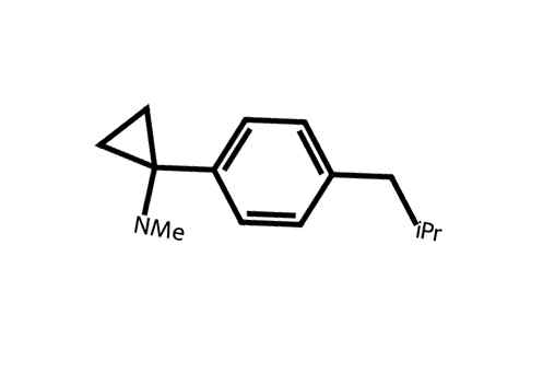 CNC1(c2ccc(CC(C)C)cc2)CC1